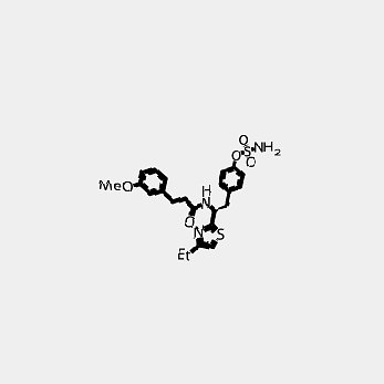 CCc1csc([C@H](Cc2ccc(OS(N)(=O)=O)cc2)NC(=O)CCc2cccc(OC)c2)n1